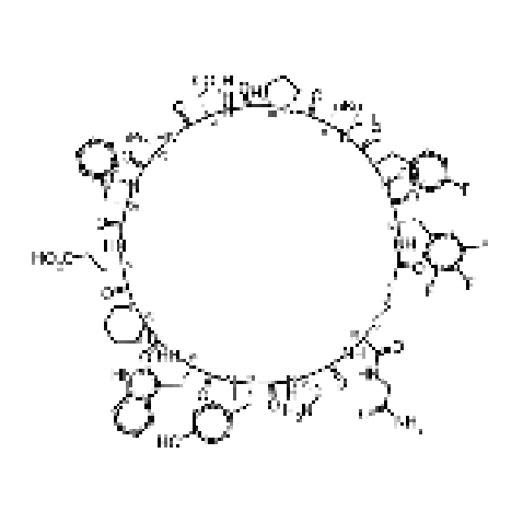 CCCC[C@H]1C(=O)N2CCC[C@@H]2C(=O)N[C@@H](CC(=O)O)C(=O)N[C@@H](C(C)C)C(=O)N(C)[C@@H](Cc2ccccc2)C(=O)N[C@@H](CCC(=O)O)C(=O)N2CCCC[C@@H]2C(=O)N[C@@H](Cc2c[nH]c3ccccc23)C(=O)N[C@@H](Cc2ccc(O)cc2)C(=O)N[C@@H](CN)C(=O)N[C@H](C(=O)NCC(N)=O)CSCC(=O)N[C@@H](Cc2cc(F)c(F)c(F)c2)C(=O)N(C)C(Cc2ccc(F)cc2)C(=O)N1C